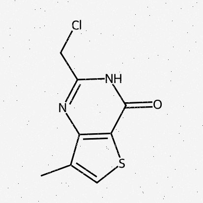 Cc1csc2c(=O)[nH]c(CCl)nc12